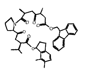 Cc1ccc2c(c1C)C(OC(=O)C(CC(=O)C1CCCN1C(=O)C(C)CC(=O)C(C)CC(=O)OCC1c3ccccc3-c3ccccc31)C(C)C)CC2